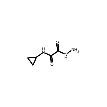 NNC(=O)C(=O)NC1CC1